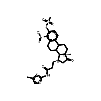 Cc1cnc(NC(=O)CC[C@@H]2CC(=O)[C@@]3(C)CCC4c5ccc(OS(C)(=O)=O)c([N+](=O)[O-])c5CCC4C23)s1